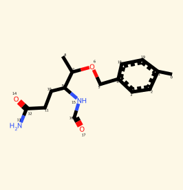 Cc1ccc(COC(C)C(CCC(N)=O)NC=O)cc1